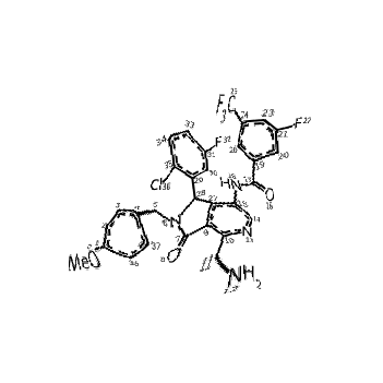 COc1ccc(CN2C(=O)c3c(CN)ncc(NC(=O)c4cc(F)cc(C(F)(F)F)c4)c3C2c2cc(F)ccc2Cl)cc1